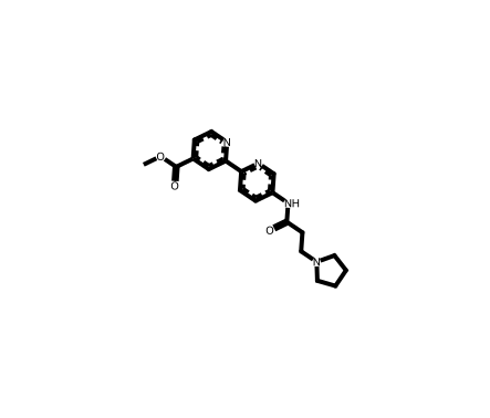 COC(=O)c1ccnc(-c2ccc(NC(=O)CCN3CCCC3)cn2)c1